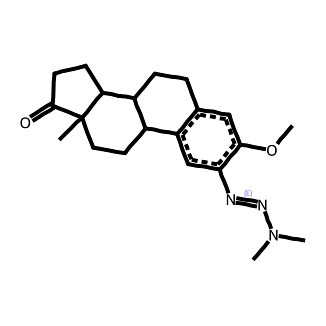 COc1cc2c(cc1/N=N/N(C)C)C1CCC3(C)C(=O)CCC3C1CC2